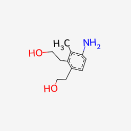 Cc1c(N)ccc(CCO)c1CCO